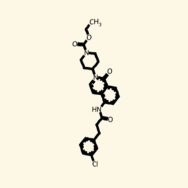 CCOC(=O)N1CCC(n2ccc3c(NC(=O)CCc4cccc(Cl)c4)cccc3c2=O)CC1